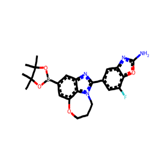 CC1(C)OB(c2cc3c4c(c2)nc(-c2cc(F)c5oc(N)nc5c2)n4CCCO3)OC1(C)C